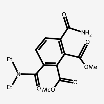 CCN(CC)C(=O)c1ccc(C(N)=O)c(C(=O)OC)c1C(=O)OC